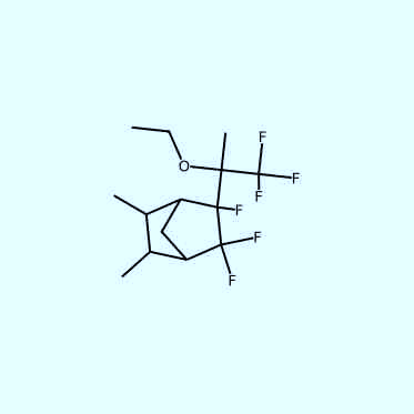 CCOC(C)(C(F)(F)F)C1(F)C2CC(C(C)C2C)C1(F)F